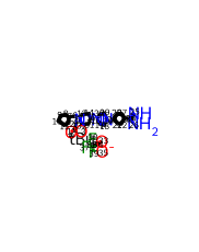 CC(C)(C)OC(=O)C[N@+]1(Cc2ccccc2)CC[C@@H](N2CCN(c3ccc(C(=N)N)cc3)CC2)CC1.O=C([O-])C(F)(F)F